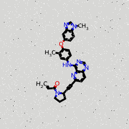 C=CC(=O)N1CCCC1C#Cc1ccc2ncnc(Nc3ccc(Oc4ccc5c(c4)ncn5C)c(C)c3)c2n1